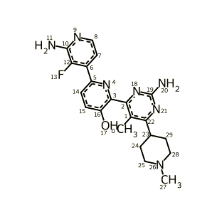 Cc1c(-c2nc(-c3ccnc(N)c3F)ccc2O)nc(N)nc1C1CCN(C)CC1